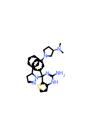 CN(C)[C@@H]1CCN(c2cccc(C3(N4N=CCC4c4ccccc4)N=C(N)Nc4ccsc43)c2)C1